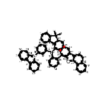 CC1(C)c2ccccc2-c2c(N(c3cccc(-n4c5ccccc5c5ccccc54)c3)c3ccccc3-c3cccc4c3oc3c5ccccc5ccc43)cccc21